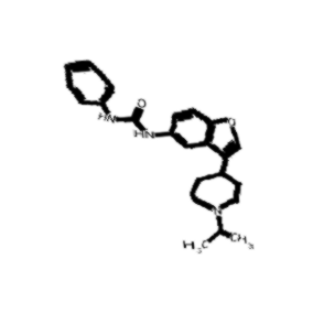 CC(C)N1CCC(c2coc3ccc(NC(=O)Nc4ccccc4)cc23)CC1